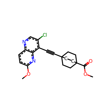 COC(=O)C12CCC(C#Cc3c(Cl)cnc4ccc(OC)nc34)(CC1)CC2